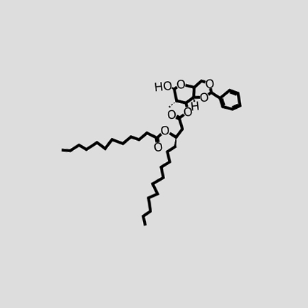 CCCCCCCCCCCC(=O)O[C@H](CCCCCCCCCCC)CC(=O)OC1[C@@H]2OC(c3ccccc3)OCC2O[C@@H](O)[C@H]1C